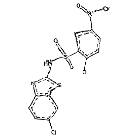 O=[N+]([O-])c1ccc(Cl)c(S(=O)(=O)Nc2nc3ccc(Cl)cc3s2)c1